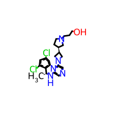 C[C@@H](Nc1cncc(N2CC([C@H]3CCN(CCCO)C3)C2)n1)c1ccc(Cl)cc1Cl